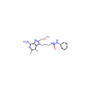 CCOCc1nc2c(N)nc(C)c(C)c2n1CCCNC(=O)Nc1ccccc1